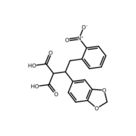 O=C(O)C(C(=O)O)C(Cc1ccccc1[N+](=O)[O-])c1ccc2c(c1)OCO2